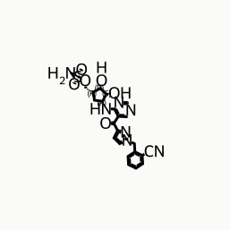 N#Cc1ccccc1Cn1ccc(C(=O)c2cncnc2N[C@@H]2C[C@H](COS(N)(=O)=O)[C@@H](O)[C@H]2O)n1